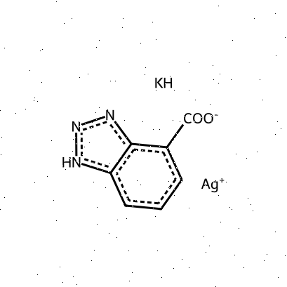 O=C([O-])c1cccc2[nH]nnc12.[Ag+].[KH]